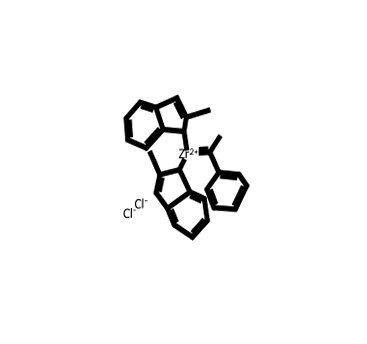 CC1=Cc2ccccc2[CH]1[Zr+2](=[C](C)c1ccccc1)[CH]1C(C)=Cc2ccccc21.[Cl-].[Cl-]